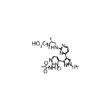 CC(C)n1cc(-c2ccnc(NC[C@H](C)N(C)C(=O)O)n2)c(C2=CC=NC(NS(C)(=O)=O)N2Cl)n1